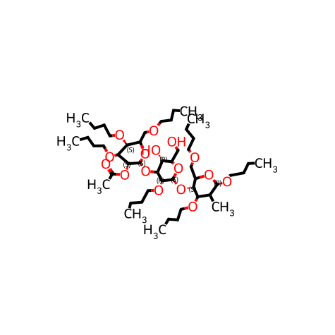 CCCCOCC1O[C@@H](OCCCC)C(C)C(OCCCC)[C@@H]1O[C@@H]1OC(CO)[C@@H](O)C(O[C@@H]2OC(COCCCC)[C@H](OCCCC)C(OCCCC)[C@@H]2OC(C)=O)[C@H]1OCCCC